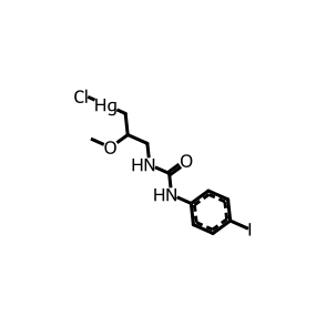 COC(CNC(=O)Nc1ccc(I)cc1)[CH2][Hg][Cl]